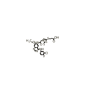 CCOc1cc2ncnc(Nc3ccc(F)c(Cl)c3)c2cc1NC(=O)Cn1nc(SCCC(=O)O)sc1=S